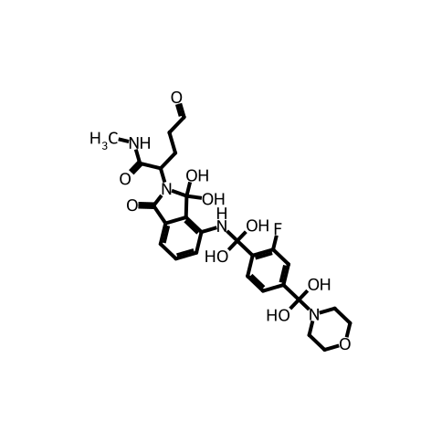 CNC(=O)C(CCC=O)N1C(=O)c2cccc(NC(O)(O)c3ccc(C(O)(O)N4CCOCC4)cc3F)c2C1(O)O